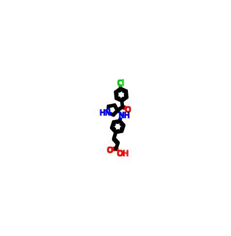 O=C(O)/C=C/c1ccc(N[C@]2(C(=O)c3ccc(Cl)cc3)CCNC2)cc1